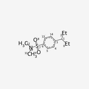 CCC(CC)c1ccc(S(=O)(=O)N(C)C)cc1